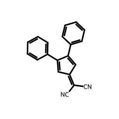 N#CC(C#N)=C1C=C(c2ccccc2)C(c2ccccc2)=C1